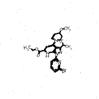 CCOC(=O)C1C=C(N2CCC(OC)CC2)c2c(C(C)C)nn(-c3cccc(Br)n3)c2N1